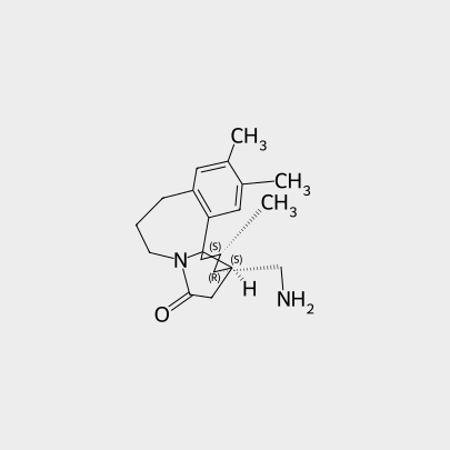 Cc1cc2c(cc1C)C13C[C@H](C)[C@@H](CN)[C@@H]1CC(=O)N3CCC2